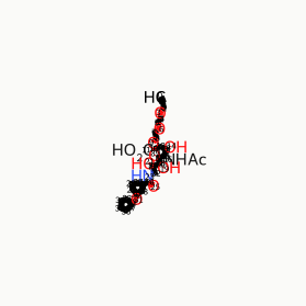 C#CCOCCOCCO[C@]1(C(=O)O)C[C@H](O)[C@@H](NC(C)=O)[C@H]([C@H](O)[C@H](O)CNC(=O)c2cccc(Oc3ccccc3)c2)O1